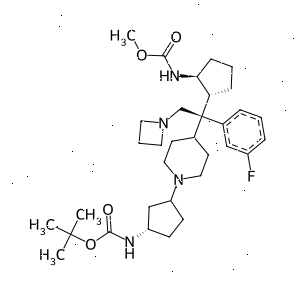 COC(=O)N[C@H]1CCC[C@@H]1[C@](CN1CCC1)(c1cccc(F)c1)C1CCN(C2CC[C@H](NC(=O)OC(C)(C)C)C2)CC1